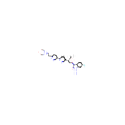 CC1(C)O/C(=C2/C(=O)Nc3cc(F)ccc32)C=C1c1ccc(-c2ccc(CCN3CCOCC3)nc2)nc1